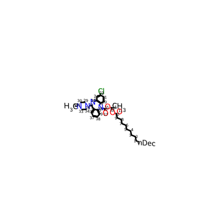 CCCCCCCCCCCCCCCCCCCC(=O)OC(C)OC(=O)N1c2ccc(Cl)cc2N=C(N2CCN(C)CC2)c2ccccc21